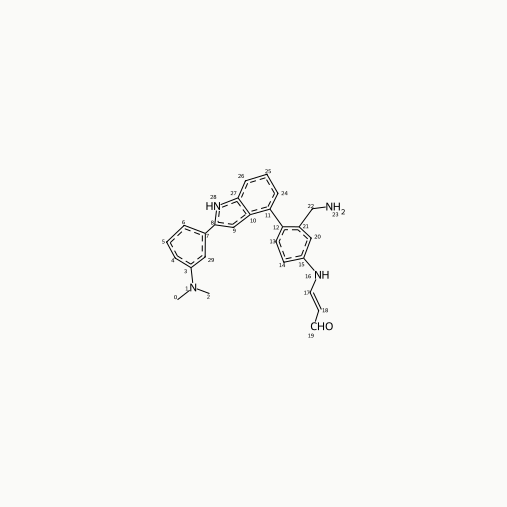 CN(C)c1cccc(-c2cc3c(-c4ccc(NC=CC=O)cc4CN)cccc3[nH]2)c1